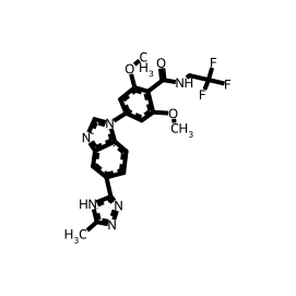 COc1cc(-n2cnc3cc(-c4nnc(C)[nH]4)ccc32)cc(OC)c1C(=O)NCC(F)(F)F